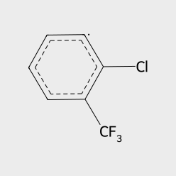 FC(F)(F)c1ccc[c]c1Cl